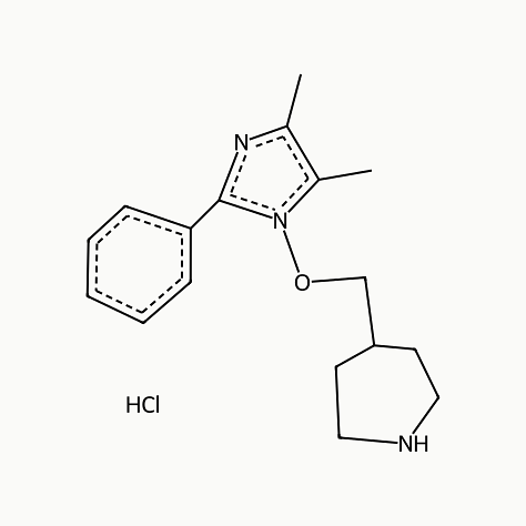 Cc1nc(-c2ccccc2)n(OCC2CCNCC2)c1C.Cl